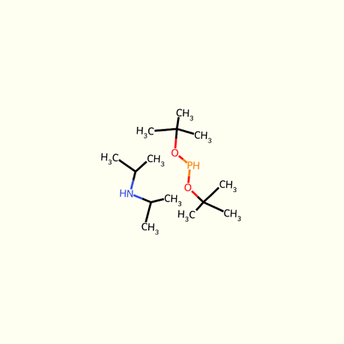 CC(C)(C)OPOC(C)(C)C.CC(C)NC(C)C